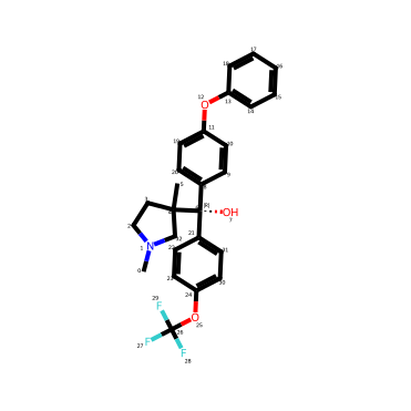 CN1CCC(C)([C@@](O)(c2ccc(Oc3ccccc3)cc2)c2ccc(OC(F)(F)F)cc2)C1